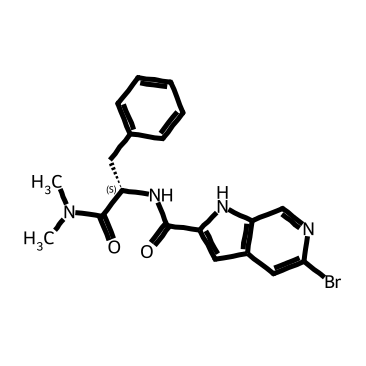 CN(C)C(=O)[C@H](Cc1ccccc1)NC(=O)c1cc2cc(Br)ncc2[nH]1